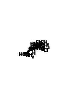 CC(=N)N1C(=N)[C@H](CC(=O)Nc2cccc(C#CC(N)CO)c2)N=C(c2ccc(Cl)cc2)c2c1sc(C)c2C